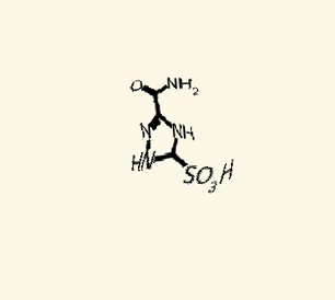 NC(=O)C1=NNC(S(=O)(=O)O)N1